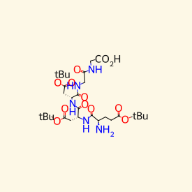 CC(C)(C)OC(=O)CC[C@@H](N)C(=O)N[C@H](CC(=O)OC(C)(C)C)C(=O)N[C@H](CC(=O)OC(C)(C)C)C(=O)NCC(=O)NCC(=O)O